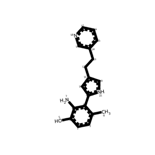 Cc1ccc(O)c(N)c1-c1cc(CCc2cccnc2)c[nH]1